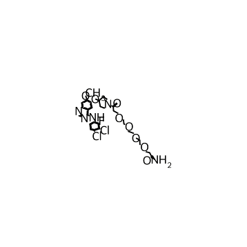 COc1cc2ncnc(Nc3ccc(Cl)c(Cl)c3F)c2cc1OC1CCN(C(=O)CCOCCOCCOCCOCCC(N)=O)CC1